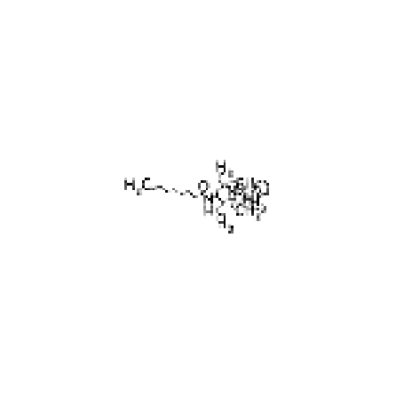 CCCCCCCCC(=O)NC1CC(C)(CC)N(OC(C)c2ccccc2)C(C)(CC)C1C